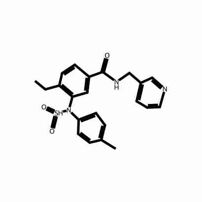 CCc1ccc(C(=O)NCc2cccnc2)cc1N(c1ccc(C)cc1)[SH](=O)=O